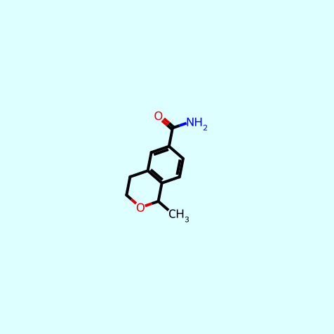 CC1OCCc2cc(C(N)=O)ccc21